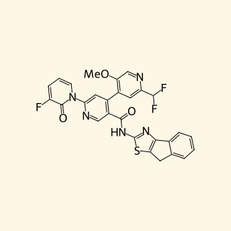 COc1cnc(C(F)F)cc1-c1cc(-n2cccc(F)c2=O)ncc1C(=O)Nc1nc2c(s1)Cc1ccccc1-2